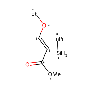 CCC[SiH3].CCOC=CC(=O)OC